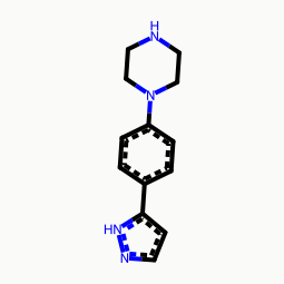 c1cc(-c2ccc(N3CCNCC3)cc2)[nH]n1